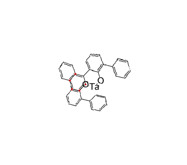 c1ccc(-c2cccc(-c3ccccc3)c2[O][Ta][O]c2c(-c3ccccc3)cccc2-c2ccccc2)cc1